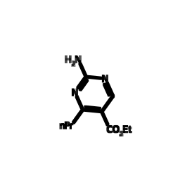 CCCc1nc(N)ncc1C(=O)OCC